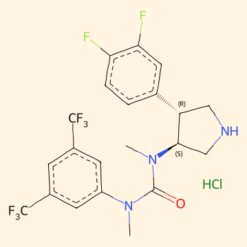 CN(C(=O)N(C)[C@@H]1CNC[C@H]1c1ccc(F)c(F)c1)c1cc(C(F)(F)F)cc(C(F)(F)F)c1.Cl